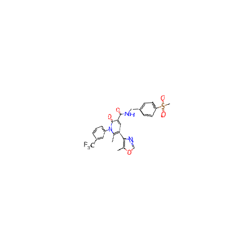 Cc1ocnc1-c1cc(C(=O)NCc2ccc(S(C)(=O)=O)cc2)c(=O)n(-c2cccc(C(F)(F)F)c2)c1C